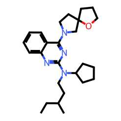 CCC(C)CCN(c1nc(N2CCC3(CCCO3)C2)c2ccccc2n1)C1CCCC1